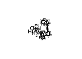 NC(=O)N1OCCC1c1cccc(C#Cc2cnc3cccnn23)c1.O=C(O)C(Cl)(Cl)Cl